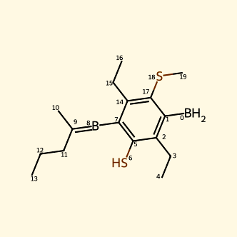 Bc1c(CC)c(S)c(/B=C(\C)CCC)c(CC)c1SC